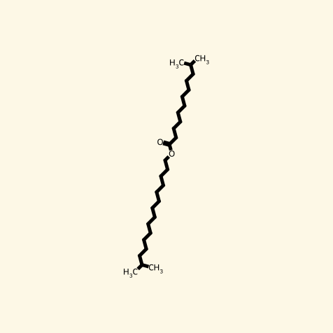 CC(C)CCCCCCCCCCCCCOC(=O)CCCCCCCCCC(C)C